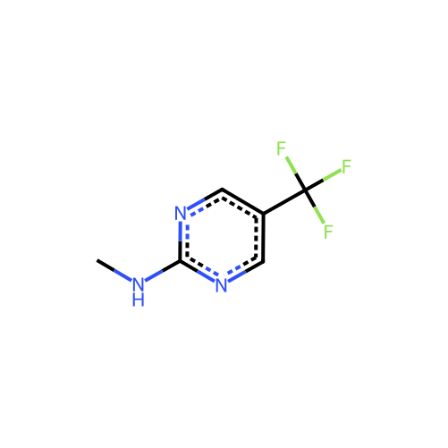 CNc1ncc(C(F)(F)F)cn1